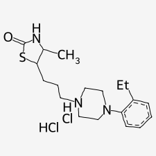 CCc1ccccc1N1CCN(CCCC2SC(=O)NC2C)CC1.Cl.Cl